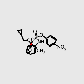 C[C@H](NP(=O)(Oc1ccccc1)Oc1ccc([N+](=O)[O-])cc1)C(=O)OCC1CC1